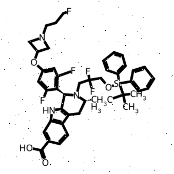 C[C@@H]1Cc2c([nH]c3cc(C(=O)O)ccc23)[C@@H](c2c(F)cc(OC3CN(CCCF)C3)cc2F)N1CC(F)(F)CO[Si](c1ccccc1)(c1ccccc1)C(C)(C)C